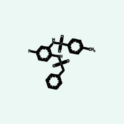 Cc1ccc(S(=O)(=O)Nc2cc(F)ccc2NS(=O)(=O)Cc2ccccc2)cc1